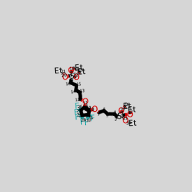 CCO[Si](CCCCCOC1=C(OCCCCC[Si](OCC)(OCC)OCC)C(F)(F)C(F)(F)C1(F)F)(OCC)OCC